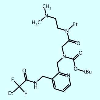 CCN(CCN(C)C)C(=O)CN(Cc1ncccc1CNC(=O)C(F)(F)CC)C(=O)OC(C)(C)C